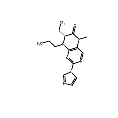 CN1C(=O)[C@@H](CC(F)(F)F)N(CCC(F)(F)F)c2nc(-n3ccnc3)ncc21